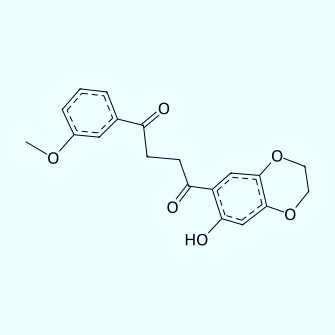 COc1cccc(C(=O)CCC(=O)c2cc3c(cc2O)OCCO3)c1